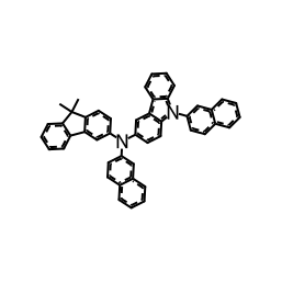 CC1(C)c2ccccc2-c2cc(N(c3ccc4ccccc4c3)c3ccc4c(c3)c3ccccc3n4-c3ccc4ccccc4c3)ccc21